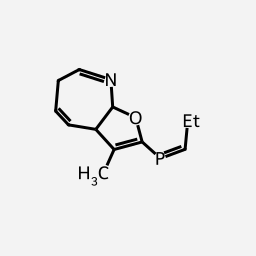 CC/C=P\C1=C(C)C2C=CCC=NC2O1